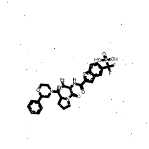 CCC(CC)C(NC(=O)c1cc2cc(C(F)(F)P(=O)(O)O)ccc2s1)C(=O)N1CCCC1C(=O)N1CCOC(c2ccccc2)C1